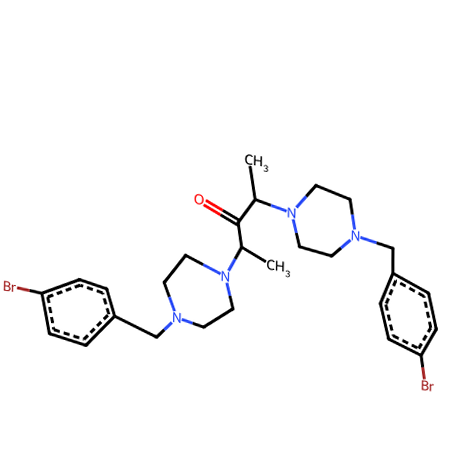 CC(C(=O)C(C)N1CCN(Cc2ccc(Br)cc2)CC1)N1CCN(Cc2ccc(Br)cc2)CC1